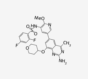 COc1ncc(-c2cc(OC3CCOCC3)c3nc(N)nc(C)c3c2)cc1NS(=O)(=O)c1ccc(F)cc1F